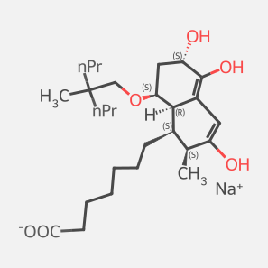 CCCC(C)(CCC)CO[C@H]1C[C@H](O)C(O)=C2C=C(O)[C@@H](C)[C@@H](CCCCCCC(=O)[O-])[C@H]21.[Na+]